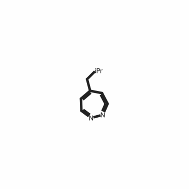 CC(C)CC1=CC=NN=C=C1